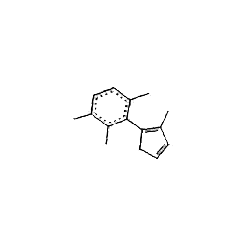 CC1=C(c2c(C)ccc(C)c2C)CC=C1